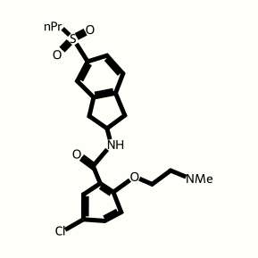 CCCS(=O)(=O)c1ccc2c(c1)CC(NC(=O)c1cc(Cl)ccc1OCCNC)C2